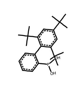 CC(C)(C)c1cc(C(C)(C)C)c(-c2ccccc2P(O)O)c(C(C)(C)C)c1